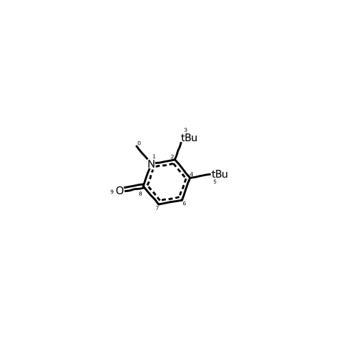 Cn1c(C(C)(C)C)c(C(C)(C)C)ccc1=O